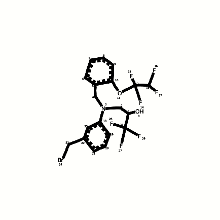 OC(CN(Cc1ccccc1OC(F)(F)C(F)F)c1cccc(CBr)c1)C(F)(F)F